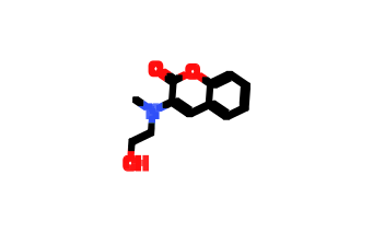 CN(CCO)c1cc2ccccc2oc1=O